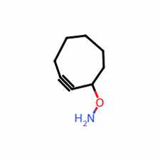 NOC1C#CCCCCC1